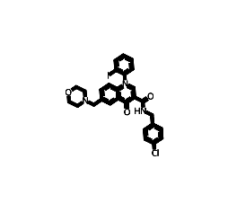 O=C(NCc1ccc(Cl)cc1)c1cn(-c2ccccc2I)c2ccc(CN3CCOCC3)cc2c1=O